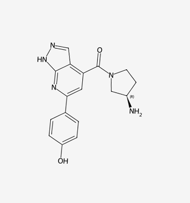 N[C@@H]1CCN(C(=O)c2cc(-c3ccc(O)cc3)nc3[nH]ncc23)C1